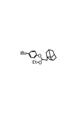 CCOC(CC12CC3CC(CC(C3)C1)C2)Oc1ccc(C(C)CC)cc1